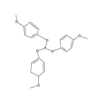 COc1ccc(OP(OC2=CCC(OC)C=C2)Oc2ccc(OC)cc2)cc1